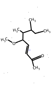 CCC(C)C(C)C(/C=C/C(C)=O)OC